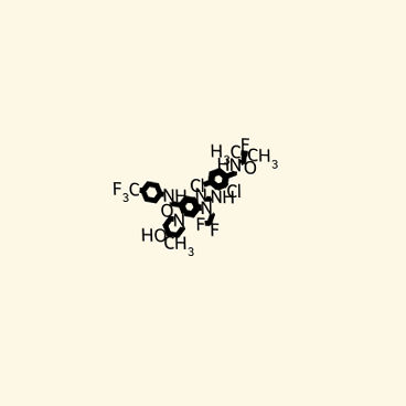 CC1(O)CCN(c2cc3c(cc2C(=O)NC2CCC(C(F)(F)F)CC2)nc(Nc2c(Cl)ccc(CNC(=O)C(C)(C)F)c2Cl)n3CC(F)F)CC1